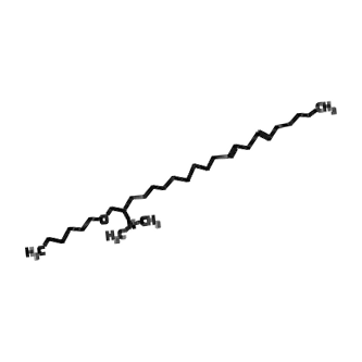 CCCCCC=CCC=CCCCCCCCCCC(COCCCCCC)N(C)C